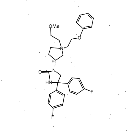 COCC[N+]1(CCOc2ccccc2)CC[C@@H](N2CC(c3ccc(F)cc3)(c3ccc(F)cc3)NC2=O)C1